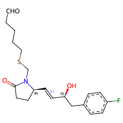 O=CCCCCSCN1C(=O)CC[C@@H]1/C=C/[C@@H](O)Cc1ccc(F)cc1